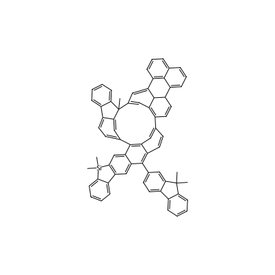 CC1(C)c2ccccc2-c2ccc(-c3c4ccc5cc4c(c4cc6c(cc34)-c3ccccc3[Si]6(C)C)-c3ccc4c(c3)C(C)(C3=CC6=C5C=CC5c7cccc8cccc(c78)C(=C3)C65)c3ccccc3-4)cc21